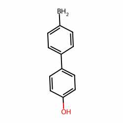 Bc1ccc(-c2ccc(O)cc2)cc1